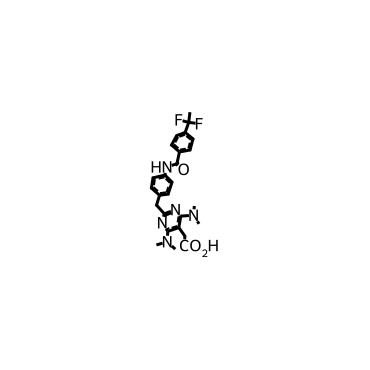 CN(C)c1nc(Cc2ccc(NC(=O)c3ccc(C(C)(F)F)cc3)cc2)nc(N(C)C)c1CC(=O)O